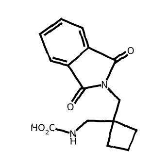 O=C(O)NCC1(CN2C(=O)c3ccccc3C2=O)CCC1